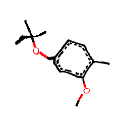 COc1cc(OC(C)(C)C)ccc1C